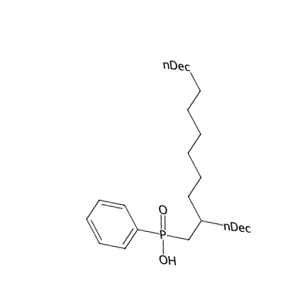 CCCCCCCCCCCCCCCCC(CCCCCCCCCC)CP(=O)(O)c1ccccc1